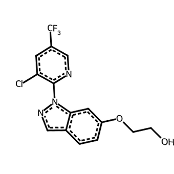 OCCOc1ccc2cnn(-c3ncc(C(F)(F)F)cc3Cl)c2c1